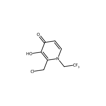 O=c1ccn(CC(F)(F)F)c(CCl)c1O